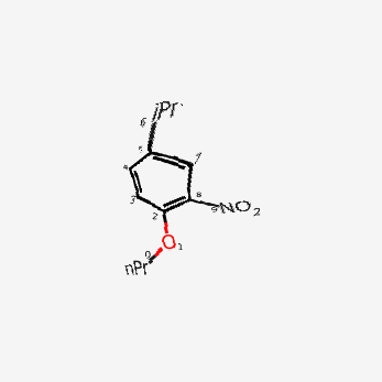 CCCOc1ccc([C](C)C)cc1[N+](=O)[O-]